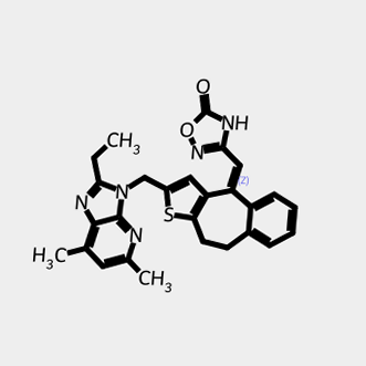 CCc1nc2c(C)cc(C)nc2n1Cc1cc2c(s1)CCc1ccccc1/C2=C/c1noc(=O)[nH]1